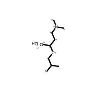 CC(C)COC(Cl)CCN(C)C.Cl